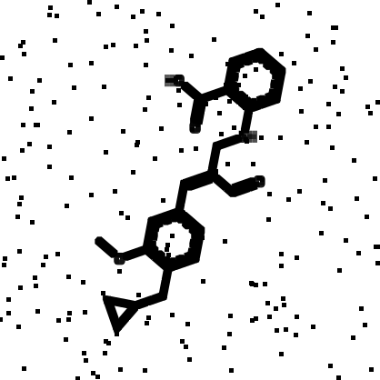 COc1cc(/C=C(\C=O)CNc2ccccc2C(=O)O)ccc1CC1CC1